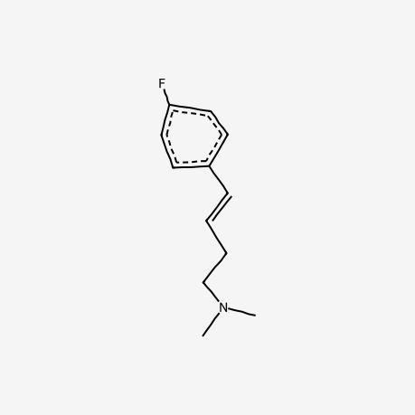 CN(C)CCC=Cc1ccc(F)cc1